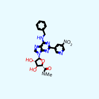 CNC(=O)[C@H]1O[C@H](n2cnc3c(NCc4ccccc4)nc(-c4cncc([N+](=O)[O-])c4)nc32)[C@@H](O)[C@@H]1O